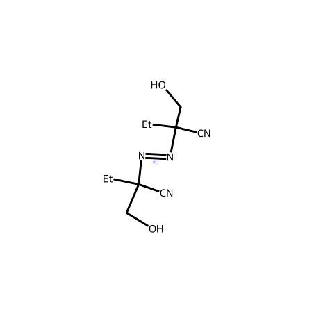 CCC(C#N)(CO)/N=N/C(C#N)(CC)CO